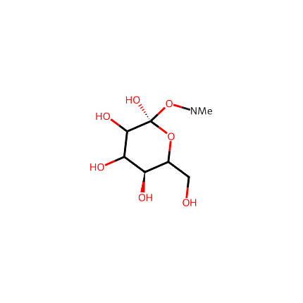 CNO[C@@]1(O)OC(CO)[C@@H](O)C(O)C1O